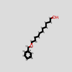 OCCCCCCCCCCCOCc1ccccc1